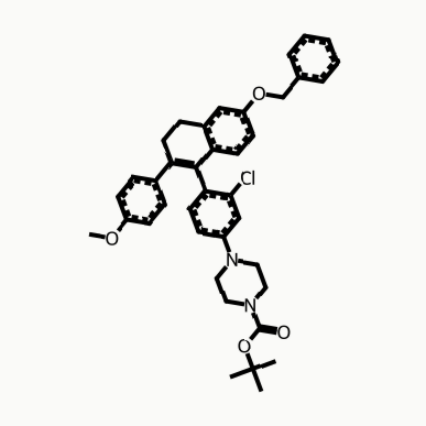 COc1ccc(C2=C(c3ccc(N4CCN(C(=O)OC(C)(C)C)CC4)cc3Cl)c3ccc(OCc4ccccc4)cc3CC2)cc1